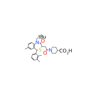 Cc1ccc2c(c1)C(c1cccc(C)c1C)SC(CC(=O)N1CCC(C(=O)O)CC1)C(=O)N2CC(C)(C)C